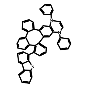 c1ccc(-n2ccn(-c3ccccc3)c3cc4c(cc32)c2ccccc2c2ccccc2c2c(-c3cccc5c3sc3ccccc35)cccc42)cc1